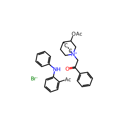 CC(=O)OC1C[N+]2(CC(=O)c3ccccc3)CCC1CC2.CC(=O)c1ccccc1Nc1ccccc1.[Br-]